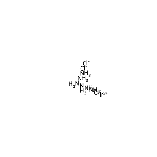 N.N.N.N.N.N.[Cl-].[Cl-].[Cl-].[Ir+3]